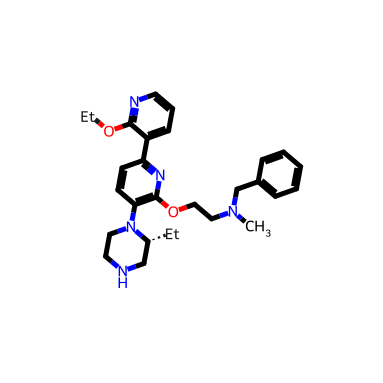 CCOc1ncccc1-c1ccc(N2CCNC[C@H]2CC)c(OCCN(C)Cc2ccccc2)n1